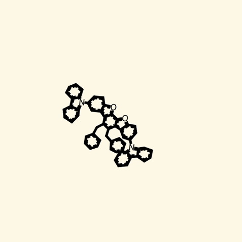 c1ccc(Cc2c(Cc3ccccc3)c3c4cc(-n5c6ccccc6c6ccccc65)ccc4oc3c3oc4ccc(-n5c6ccccc6c6ccccc65)cc4c23)cc1